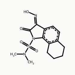 CN(C)S(=O)(=O)N1C(=O)C(=NO)c2ccc3c(c21)CCCC3